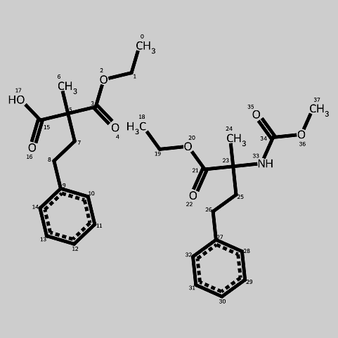 CCOC(=O)C(C)(CCc1ccccc1)C(=O)O.CCOC(=O)C(C)(CCc1ccccc1)NC(=O)OC